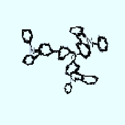 c1ccc(-n2c3ccccc3c3cc(-c4ccc(N(c5ccc6c(c5)c5ccccc5n6-c5ccccc5)c5ccc6c(c5)c5ccccc5n6-c5ccccc5)cc4)ccc32)cc1